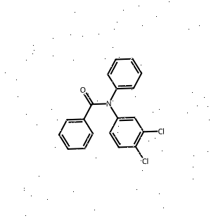 O=C(c1ccccc1)N(c1ccccc1)c1ccc(Cl)c(Cl)c1